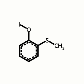 CSc1ccccc1OI